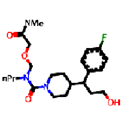 CCCN(COCC(=O)NC)C(=O)N1CCC(C(CCO)c2ccc(F)cc2)CC1